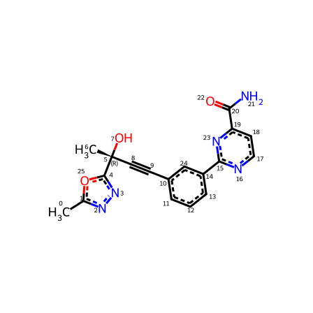 Cc1nnc([C@](C)(O)C#Cc2cccc(-c3nccc(C(N)=O)n3)c2)o1